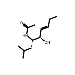 CC/C=C/[C@@H](O)[C@H](CC(C)C)NC(C)=O